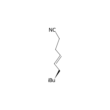 CC[C@H](C)C/C=C/CCC#N